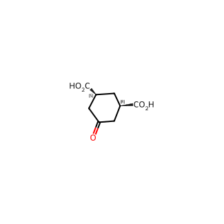 O=C1C[C@@H](C(=O)O)C[C@@H](C(=O)O)C1